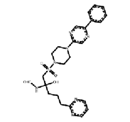 O=CNC(O)(CCCc1ncccn1)CS(=O)(=O)N1CCN(c2cnc(-c3ccccc3)cn2)CC1